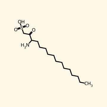 CCCCCCCCCCCCCC(N)C(=O)CS(=O)(=O)O